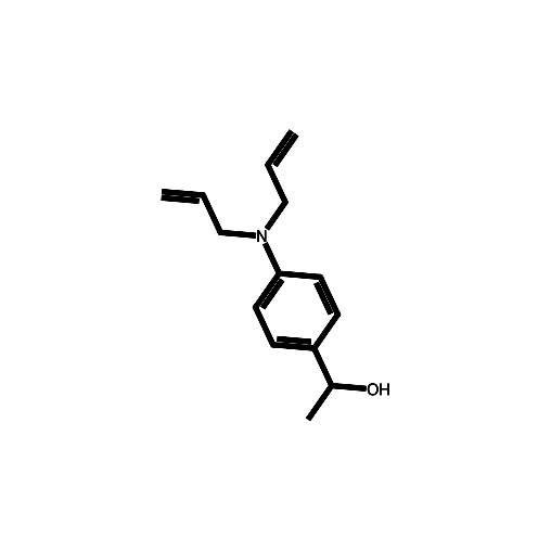 C=CCN(CC=C)c1ccc(C(C)O)cc1